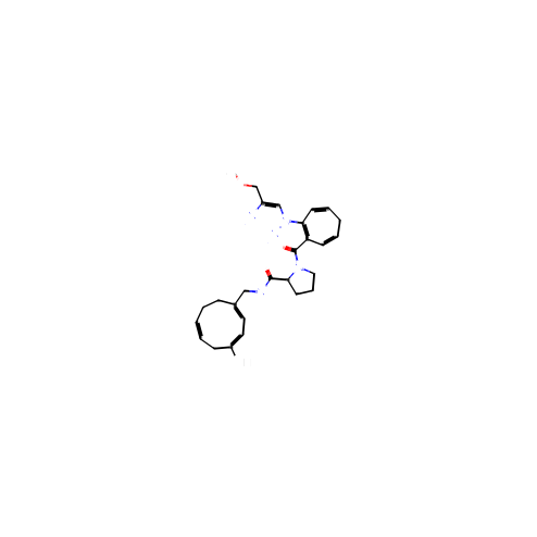 COC/C(N)=C/N(N)C1=C(C(=O)N2CCCC2C(=O)NC/C2=C/C=C(/C)CC=CCC2)C=CCC=C1